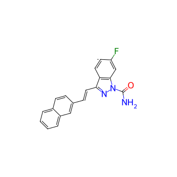 NC(=O)n1nc(/C=C/c2ccc3ccccc3c2)c2c[c]c(F)cc21